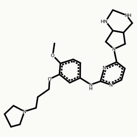 COc1ccc(Nc2nccc(N3CC4CNCNC4C3)n2)cc1OCCCN1CCCC1